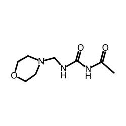 CC(=O)NC(=O)NCN1CCOCC1